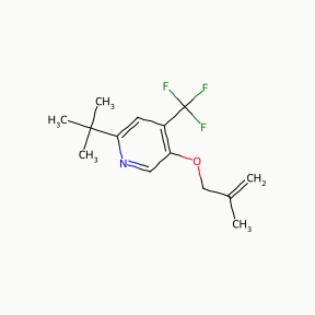 C=C(C)COc1cnc(C(C)(C)C)cc1C(F)(F)F